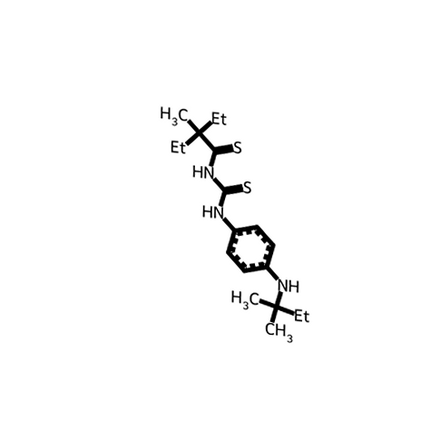 CCC(C)(C)Nc1ccc(NC(=S)NC(=S)C(C)(CC)CC)cc1